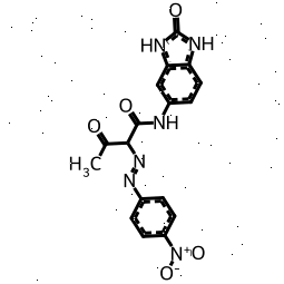 CC(=O)C(N=Nc1ccc([N+](=O)[O-])cc1)C(=O)Nc1ccc2[nH]c(=O)[nH]c2c1